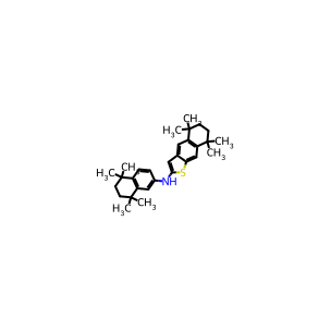 CC1(C)CCC(C)(C)c2cc(Nc3cc4cc5c(cc4s3)C(C)(C)CCC5(C)C)ccc21